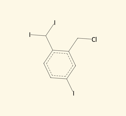 ClCc1cc(I)ccc1C(I)I